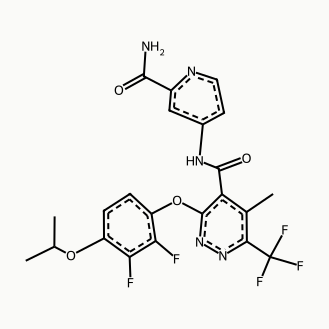 Cc1c(C(F)(F)F)nnc(Oc2ccc(OC(C)C)c(F)c2F)c1C(=O)Nc1ccnc(C(N)=O)c1